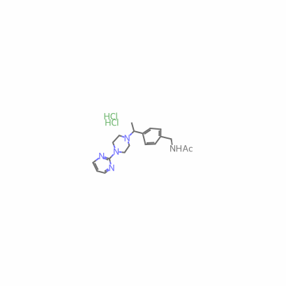 CC(=O)NCc1ccc(C(C)N2CCN(c3ncccn3)CC2)cc1.Cl.Cl